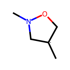 C[C]1CON(C)C1